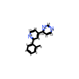 Cc1ccccc1-c1cc(-c2ccncn2)ccn1